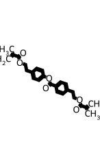 C=C(C)C(=O)OCCc1ccc(OC(=O)c2ccc(CCOC(=O)C(=C)C)cc2)cc1